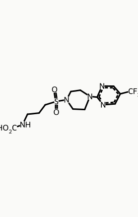 O=C(O)NCCCS(=O)(=O)N1CCN(c2ncc(C(F)(F)F)cn2)CC1